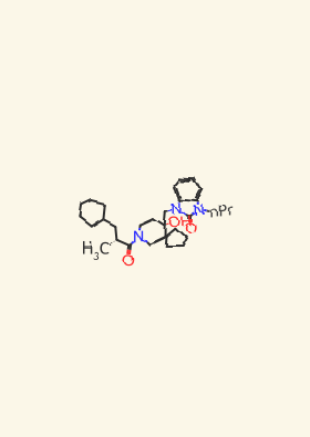 CCCn1c(=O)n(CC2(O)CCN(C(=O)[C@H](C)CC3CCCCC3)CC23CCCC3)c2ccccc21